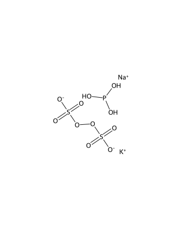 O=S(=O)([O-])OOS(=O)(=O)[O-].OP(O)O.[K+].[Na+]